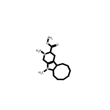 CN1C2=C(CC(C(=O)OP)N(P)C2)C2CCCCCCCC21